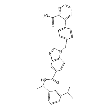 CC(C)c1cccc(C(C)NC(=O)c2ccc3c(c2)ncn3Cc2ccc(-c3cccnc3C(=O)O)cc2)c1